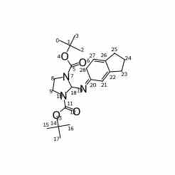 CC(C)(C)OC(=O)N1CCN(C(=O)OC(C)(C)C)C1N=C1C=C2CCCC2=CC1